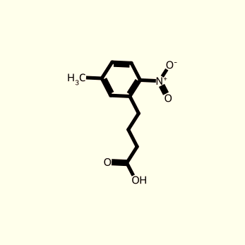 Cc1ccc([N+](=O)[O-])c(CCCC(=O)O)c1